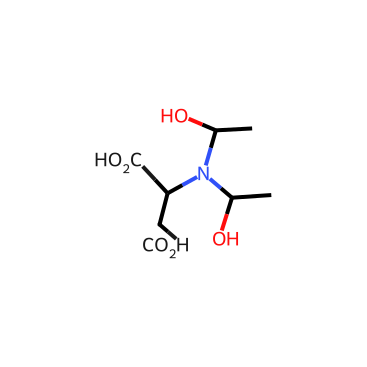 CC(O)N(C(C)O)C(CC(=O)O)C(=O)O